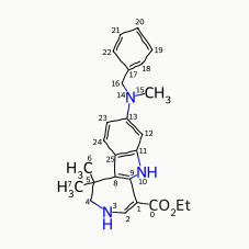 CCOC(=O)C1=CNCC(C)(C)c2c1[nH]c1cc(N(C)Cc3ccccc3)ccc21